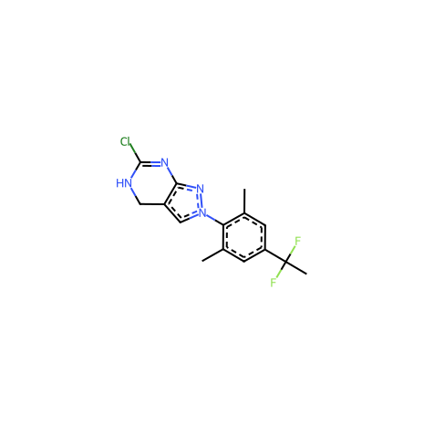 Cc1cc(C(C)(F)F)cc(C)c1-n1cc2c(n1)N=C(Cl)NC2